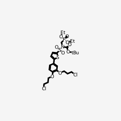 CCOP(=O)(CN(C(=O)OC(C)(C)C)S(=O)(=O)c1ccc(-c2ccc(OCCCCl)c(OCCCCl)c2)s1)OCC